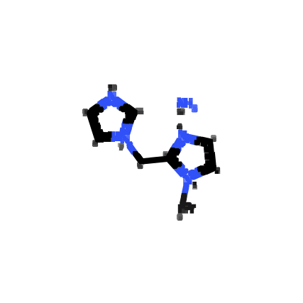 CCCn1ccnc1Cn1ccnc1.N